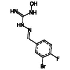 N=C(NO)N/N=C/c1ccc(F)c(Br)c1